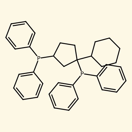 c1ccc(P(c2ccccc2)C2CCC(C3CCCCC3)(P(c3ccccc3)c3ccccc3)C2)cc1